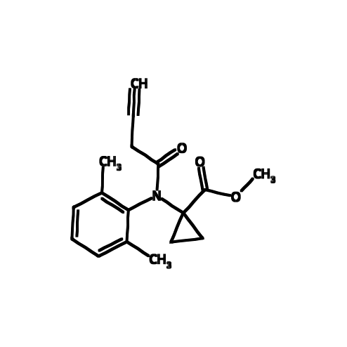 C#CCC(=O)N(c1c(C)cccc1C)C1(C(=O)OC)CC1